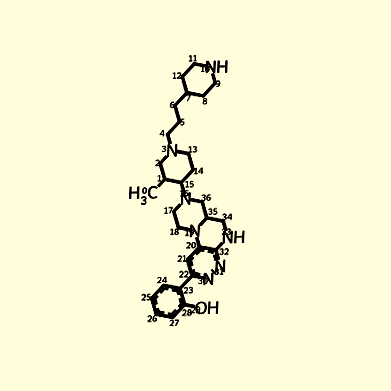 CC1CN(CCCC2CCNCC2)CCC1N1CCN2c3cc(-c4ccccc4O)nnc3NCC2C1